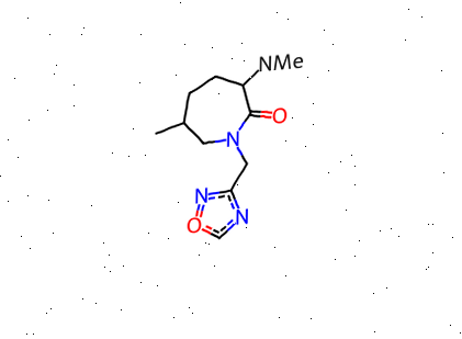 CNC1CCC(C)CN(Cc2ncon2)C1=O